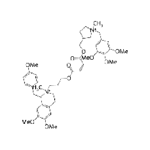 COc1ccc(CC2c3cc(OC)c(OC)cc3CC[N+]2(C)CCCOC(=O)/C=C\C(=O)OCC2CC[N+](C)(Cc3cc(OC)c(OC)c(OC)c3)C2)cc1